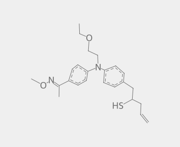 C=CCC(S)Cc1ccc(N(CCOCC)c2ccc(/C(C)=N/OC)cc2)cc1